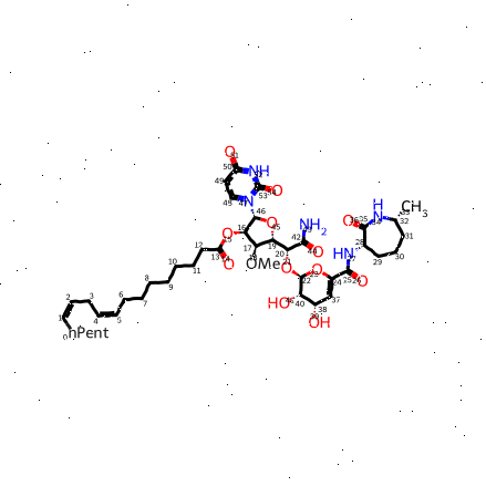 CCCCC/C=C\C/C=C\CCCCCCCC(=O)O[C@@H]1[C@H](OC)[C@@H]([C@@H](O[C@H]2OC(C(=O)N[C@H]3CCC[C@@H](C)NC3=O)=C[C@H](O)[C@@H]2O)C(N)=O)O[C@H]1n1ccc(=O)[nH]c1=O